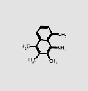 Cc1c(C)c(N)c2c(C)cccc2c1C